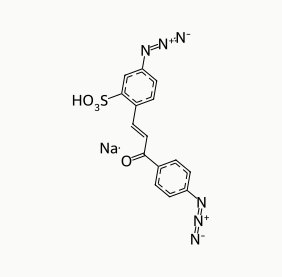 [N-]=[N+]=Nc1ccc(C(=O)C=Cc2ccc(N=[N+]=[N-])cc2S(=O)(=O)O)cc1.[Na]